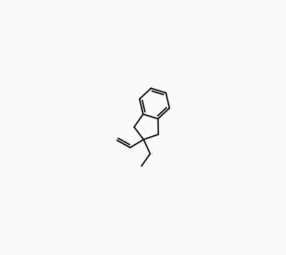 C=CC1([CH]C)Cc2ccccc2C1